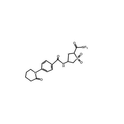 NC(=O)C1[CH]C(NC(=O)c2ccc(N3CCCCC3=O)cc2)CS1(=O)=O